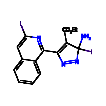 CCOC(=O)C1=C(c2nc(I)cc3ccccc23)N=NC1(N)I